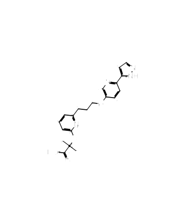 CC(C)(Oc1cccc(CCCOc2ccc(-c3ccn[nH]3)nc2)n1)C(=O)O